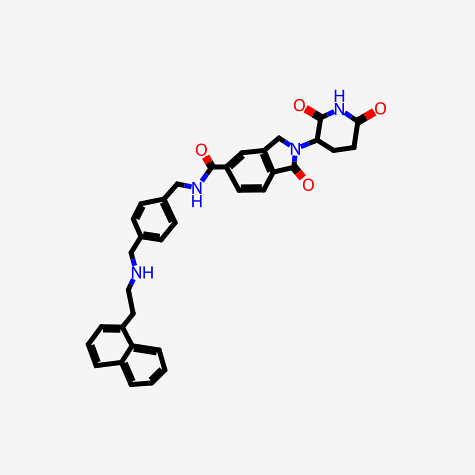 O=C1CCC(N2Cc3cc(C(=O)NCc4ccc(CNCCc5cccc6ccccc56)cc4)ccc3C2=O)C(=O)N1